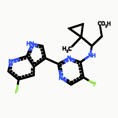 CC1(C(CC(=O)O)Nc2nc(-c3c[nH]c4ncc(F)cc34)ncc2F)CC1